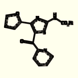 CCOC(=O)Nc1nc(-c2ccco2)c(C(=O)c2ccccn2)s1